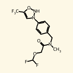 CN(Cc1ccc(N2C=C(C(F)(F)F)ON2)cc1)C(=O)COC(F)F